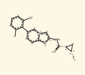 Cc1cccc(Cl)c1-c1ccc2nc(NC(=O)[C@@H]3C[C@@H]3F)cn2c1